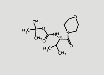 CC(C)[C@H](NC(=O)OC(C)(C)C)C(=O)N1CCOCC1